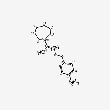 Nc1ccc(CC[SH]=C(O)N2CCCCCC2)cc1